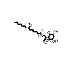 CCCCCCC[C@@H](C/C=C/CCC(=O)NC/C(=C/Cl)[C@@H]1C(=O)[C@H](O)C[C@@H](O)[C@]1(C)O)OC